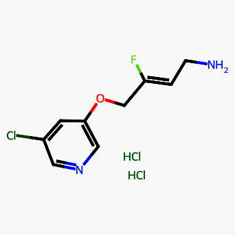 Cl.Cl.NCC=C(F)COc1cncc(Cl)c1